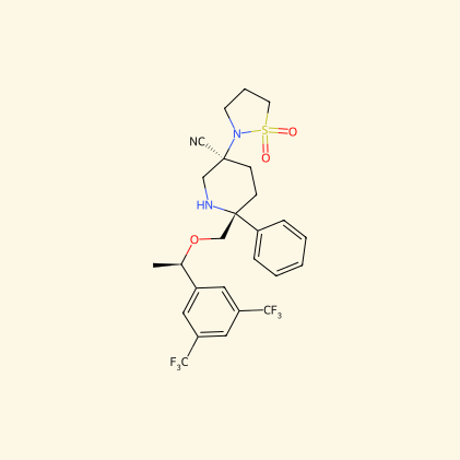 C[C@@H](OC[C@]1(c2ccccc2)CC[C@](C#N)(N2CCCS2(=O)=O)CN1)c1cc(C(F)(F)F)cc(C(F)(F)F)c1